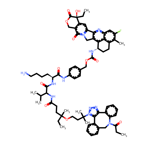 CCC(=O)N1Cc2ccccc2-c2c(nnn2C(C)(C)CCOC(C)(CC)CCC(=O)NC(C(=O)N[C@@H](CCCCN)C(=O)Nc2ccc(COC(=O)N[C@H]3CCc4c(C)c(F)cc5nc6c(c3c45)Cn3c-6cc4c(c3=O)COC(=O)[C@]4(O)CC)cc2)C(C)C)-c2ccccc21